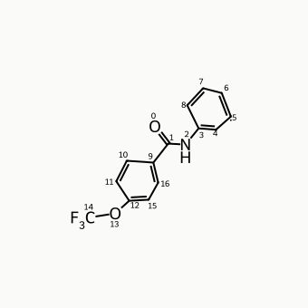 O=C(Nc1c[c]ccc1)c1ccc(OC(F)(F)F)cc1